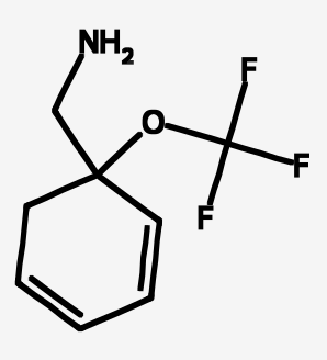 NCC1(OC(F)(F)F)C=CC=CC1